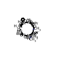 C/C=C(\C)[C@H]1NC(=O)[C@@H](C)NC(=O)[C@H](C(C)CC)NC(=O)CN(C)C(=O)[C@@H](Cc2ccccc2)N(C)C(=O)[C@H](C)NC(=O)[C@@H](CC(C)C)OC(=O)/C(C)=C/C[C@H](N=[N+]=[N-])[C@@H]1C